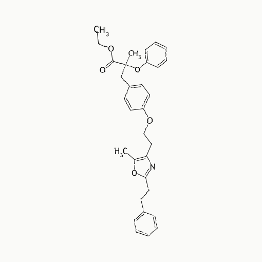 CCOC(=O)C(C)(Cc1ccc(OCCc2nc(CCc3ccccc3)oc2C)cc1)Oc1ccccc1